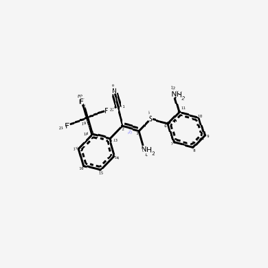 N#C/C(=C(/N)Sc1ccccc1N)c1ccccc1C(F)(F)F